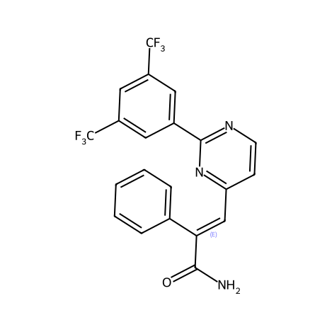 NC(=O)/C(=C/c1ccnc(-c2cc(C(F)(F)F)cc(C(F)(F)F)c2)n1)c1ccccc1